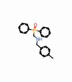 Cc1ccc(CNCP(=O)(c2ccccc2)c2ccccc2)cc1